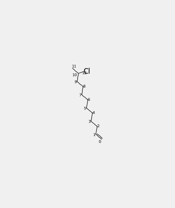 C=CCCCCCCCCC(C)Cl